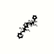 CC(C)(NC1CCCC1)C(=O)Nc1cc(C(C)(C)COC2CCCCO2)no1